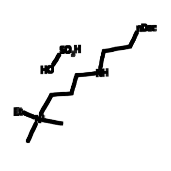 CCCCCCCCCCCCNCCC[N+](C)(C)CC.O=S(=O)(O)O